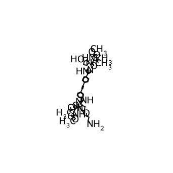 COC(=O)N[C@H](C(=O)N1C[C@@H](O)C[C@H]1c1ncc(-c2ccc(C#Cc3ccc4nc([C@@H]5C[C@H](OCCCN)CN5C(=O)[C@@H](NC(=O)OC)C(C)C)[nH]c4c3)cc2)[nH]1)C(C)C